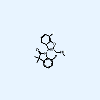 CNC[C@@H]1OC2=C(F)C=CCC2[C@H]1N1C(=O)C(C)(C)c2cccc(F)c21